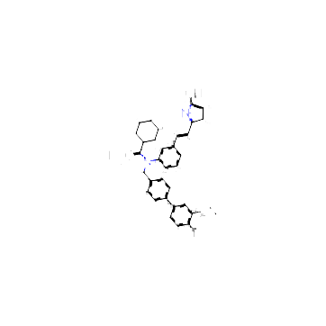 C=C(C1CCCCC1)N(Cc1ccc(-c2ccc(CC)c(C#N)c2)cc1)c1cccc(/C=C/C2=NC(C)=CC2)c1